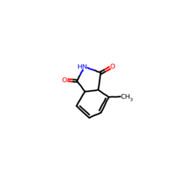 CC1=CC=CC2C(=O)NC(=O)C12